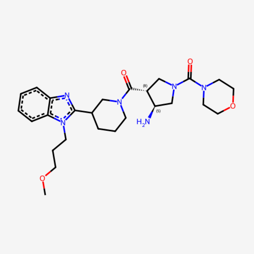 COCCCn1c(C2CCCN(C(=O)[C@@H]3CN(C(=O)N4CCOCC4)C[C@H]3N)C2)nc2ccccc21